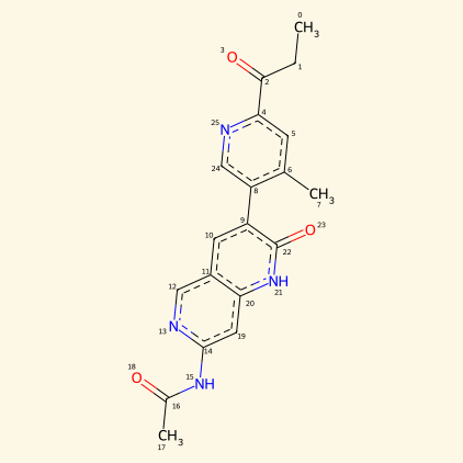 CCC(=O)c1cc(C)c(-c2cc3cnc(NC(C)=O)cc3[nH]c2=O)cn1